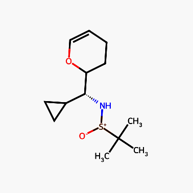 CC(C)(C)[S+]([O-])N[C@H](C1CC1)C1CCC=CO1